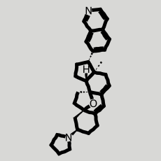 C[C@]12CC=C3C=C4CC[C@@H](N5CCCC5)C[C@]45CC[C@]3(O5)[C@@H]1CC[C@@H]2c1ccc2ccncc2c1